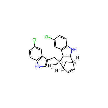 C[C@@]1(Cc2c[nH]c3ccc(Cl)cc23)c2c([nH]c3ccc(Cl)cc23)[C@H]2C=C[C@@H]1C2